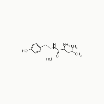 CC(C)C[C@H](N)C(=O)NCCc1ccc(O)cc1.Cl